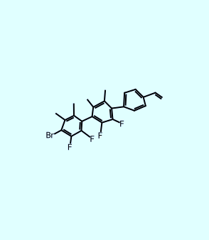 C=Cc1ccc(-c2c(C)c(C)c(-c3c(C)c(C)c(Br)c(F)c3F)c(F)c2F)cc1